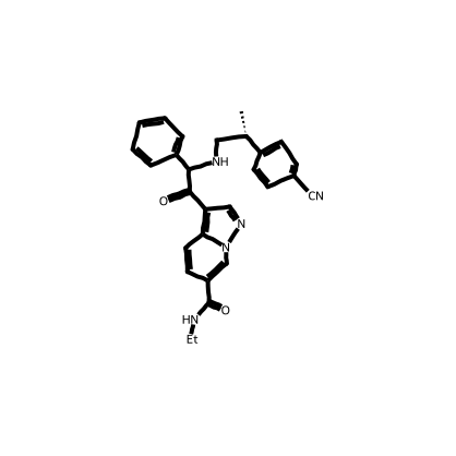 CCNC(=O)c1ccc2c(C(=O)C(NC[C@H](C)c3ccc(C#N)cc3)c3ccccc3)cnn2c1